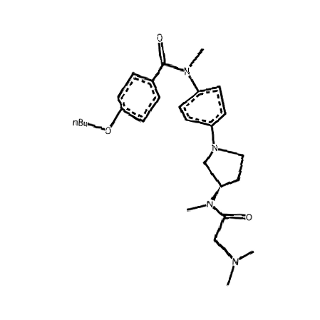 CCCCOc1ccc(C(=O)N(C)c2ccc(N3CC[C@@H](N(C)C(=O)CN(C)C)C3)cc2)cc1